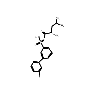 CC(C)C[C@H](N)C(=O)N=S(N)(=O)c1cccc(-c2cccc(F)c2)c1